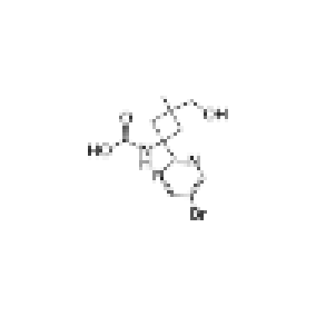 CC1(CO)CC(NC(=O)O)(c2ncc(Br)cn2)C1